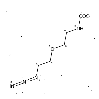 N=[N+]=NCCOCCNC(=O)[O-]